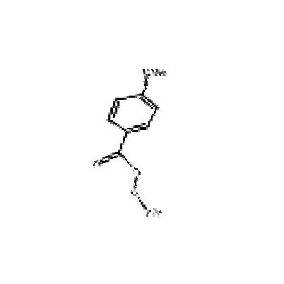 [CH2]CCOOC(=O)c1ccc(OC)cc1